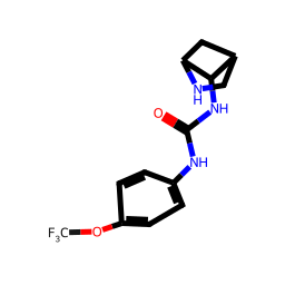 O=C(Nc1ccc(OC(F)(F)F)cc1)NC1C2CNC1C2